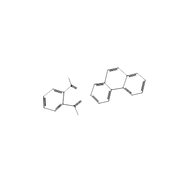 O=C(O)c1ccccc1C(=O)O.c1ccc2c(c1)ccc1ccccc12